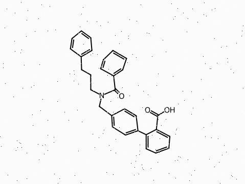 O=C(O)c1ccccc1-c1ccc(CN(CCCc2ccccc2)C(=O)c2ccccc2)cc1